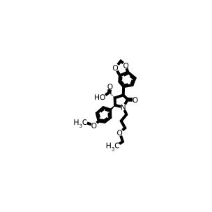 CCOCCCN1C(=O)C(c2ccc3c(c2)OCO3)[C@@H](C(=O)O)[C@@H]1c1ccc(OC)cc1